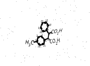 Cc1ccc(C(C(=O)O)C(C(=O)O)c2ccccc2)cc1